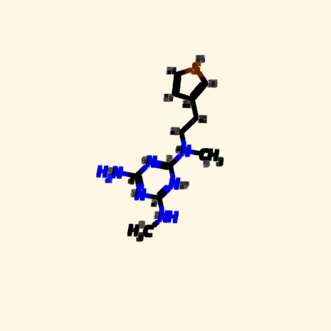 CNc1nc(N)nc(N(C)CCc2ccsc2)n1